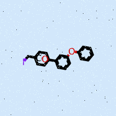 ICC12CCC(c3cccc(Oc4ccccc4)c3)(CC1)OC2